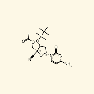 CC(=O)OC[C@@]1(C#N)O[C@@H](n2ccc(N)nc2=O)CC1O[Si](C)(C)C(C)(C)C